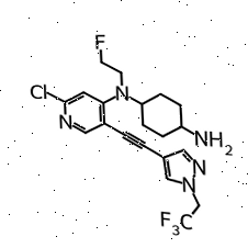 NC1CCC(N(CCF)c2cc(Cl)ncc2C#Cc2cnn(CC(F)(F)F)c2)CC1